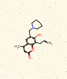 C=CCc1c(O)c(CN2CCCCC2)cc2c(C)cc(=O)oc12